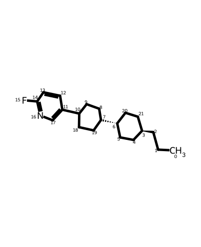 CCC[C@H]1CC[C@H](C2CCC(c3ccc(F)nc3)CC2)CC1